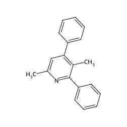 Cc1cc(-c2ccccc2)c(C)c(-c2ccccc2)n1